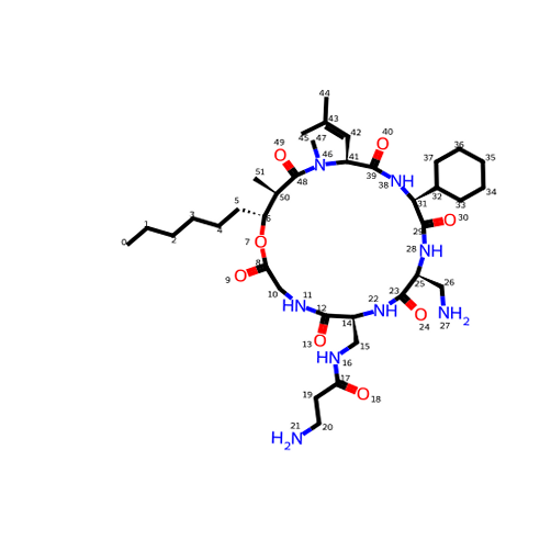 CCCCCC[C@H]1OC(=O)CNC(=O)[C@H](CNC(=O)CCN)NC(=O)[C@H](CN)NC(=O)[C@H](C2CCCCC2)NC(=O)[C@H](C=C(C)C)N(C)C(=O)[C@@H]1C